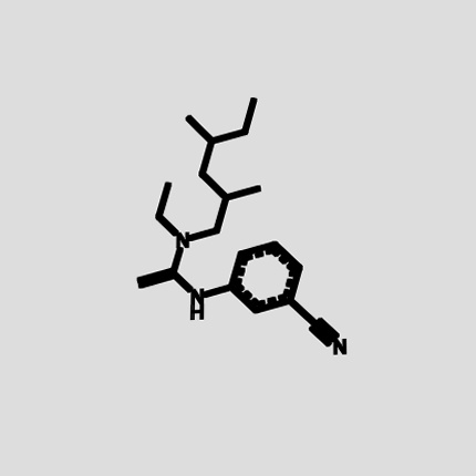 C=C(Nc1cccc(C#N)c1)N(CC)CC(C)CC(C)CC